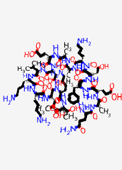 CC(C)C[C@H](NC(=O)[C@H](CCCCN)NC(=O)[C@H](CCCCN)NC(=O)[C@@H](NC(=O)[C@H](CC(=O)O)NC(=O)[C@H](CCC(=O)O)NC(=O)[C@H](C)NC(=O)[C@H](C)NC(=O)[C@H](CCCCN)NC(=O)[C@H](CC(=O)O)NC(=O)[C@H](Cc1ccccc1)NC(=O)[C@H](CCC(=O)O)NC(=O)[C@H](C)NC(=O)[C@@H](N)CCC(N)=O)C(C)C)C(=O)N[C@@H](CCCCN)C(=O)N[C@H](C(=O)O)[C@@H](C)O